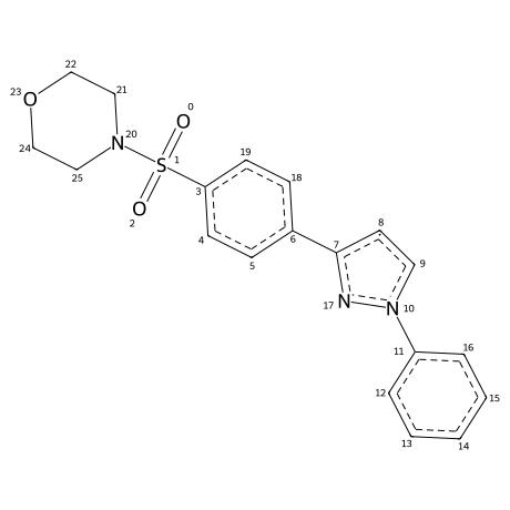 O=S(=O)(c1ccc(-c2[c]cn(-c3ccccc3)n2)cc1)N1CCOCC1